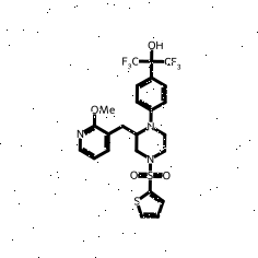 COc1ncccc1CC1CN(S(=O)(=O)c2cccs2)CCN1c1ccc(C(O)(C(F)(F)F)C(F)(F)F)cc1